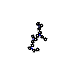 c1ccc(-c2ccc(-n3c4ccc(-c5ccc6c(c5)c5cccc7c8ccccc8n6c75)cc4c4ccc(-c5ccc6c7cc(-c8ccc9c(c8)c8ccccc8n9-c8cccc(-c9ccccc9)c8)ccc7n7c8ccccc8c5c67)cc43)cc2)cc1